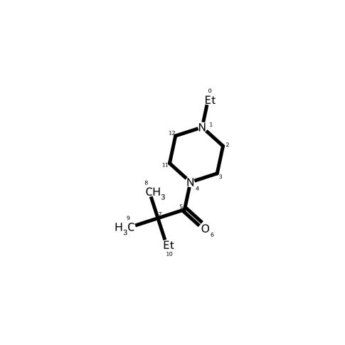 CCN1CCN(C(=O)C(C)(C)CC)CC1